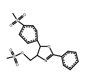 CS(=O)(=O)OCC1N=C(c2ccccc2)OC1c1ccc(S(C)(=O)=O)cc1